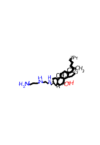 CC(C)CCC[C@@H](C)[C@H]1CCC2C3C(CC[C@@]21C)[C@@]1(C)CC[C@H](CNCCCNCCCN)C[C@@H]1C[C@@H]3O